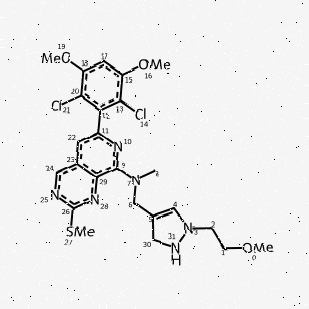 COCCN1C=C(CN(C)c2nc(-c3c(Cl)c(OC)cc(OC)c3Cl)cc3cnc(SC)nc23)CN1